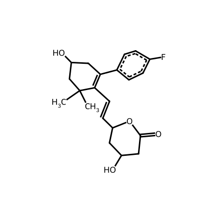 CC1(C)CC(O)CC(c2ccc(F)cc2)=C1C=CC1CC(O)CC(=O)O1